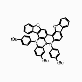 CC(C)(C)c1ccc(N2B3c4cc(C(C)(C)C)ccc4N(c4ccc(C(C)(C)C)cc4)c4c3c(cc3oc5ccccc5c43)-c3c2ccc2c3oc3ccccc32)cc1